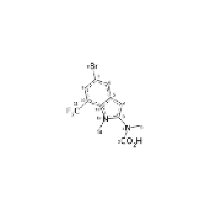 CN(C(=O)O)c1cc2cc(Br)cc(C(F)(F)F)c2n1C